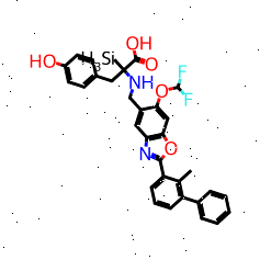 Cc1c(-c2ccccc2)cccc1-c1nc2cc(CNC([SiH3])(Cc3ccc(O)cc3)C(=O)O)c(OC(F)F)cc2o1